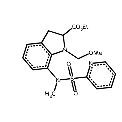 CCOC(=O)C1Cc2cccc(N(C)S(=O)(=O)c3ccccn3)c2N1COC